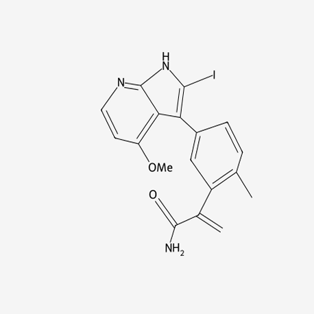 C=C(C(N)=O)c1cc(-c2c(I)[nH]c3nccc(OC)c23)ccc1C